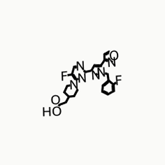 O=C(O)CC1CCN(c2nc(-c3cc(-c4ccon4)n(Cc4ccccc4F)n3)ncc2F)CC1